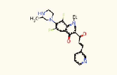 CCn1cc(C(=O)C=Cc2cccnc2)c(=O)c2cc(F)c(N3CCNC(C)C3)c(F)c21